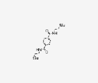 CC(C)(C)CCNC(=O)c1ccc(C(=O)NCCC(C)(C)C)cc1